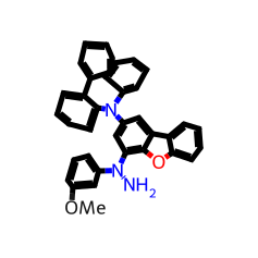 COc1cccc(N(N)c2cc(N(c3ccccc3)c3ccccc3-c3ccccc3)cc3c2oc2ccccc23)c1